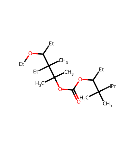 CCOC(CC)C(C)(CC)C(C)(C)OC(=O)OC(CC)C(C)(C)C(C)C